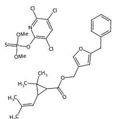 CC(C)=CC1C(C(=O)OCc2coc(Cc3ccccc3)c2)C1(C)C.COP(=S)(OC)Oc1nc(Cl)c(Cl)cc1Cl